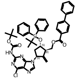 C=C1[C@H](COC(=O)c2ccc(-c3ccccc3)cc2)[C@@H](O[Si](c2ccccc2)(c2ccccc2)C(C)(C)C)C[C@@H]1n1cnc2c(Cl)nc(NC(=O)OC(C)(C)C)nc21